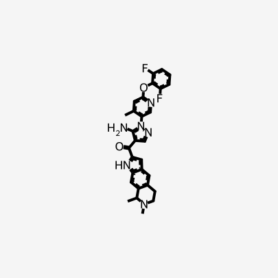 Cc1cc(Oc2c(F)cccc2F)ncc1-n1ncc(C(=O)c2cc3cc4c(cc3[nH]2)C(C)N(C)CC4)c1N